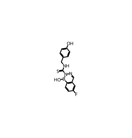 OB1c2ccc(F)cc2C=NN1C(=S)NCc1ccc(O)cc1